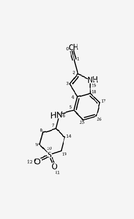 C#Cc1cc2c(NC3CCS(=O)(=O)CC3)cccc2[nH]1